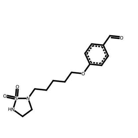 O=Cc1ccc(OCCCCCN2CCNS2(=O)=O)cc1